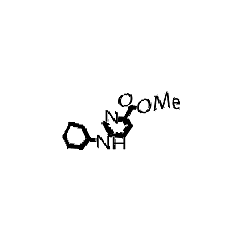 COC(=O)c1ccc(NC2CCCCC2)cn1